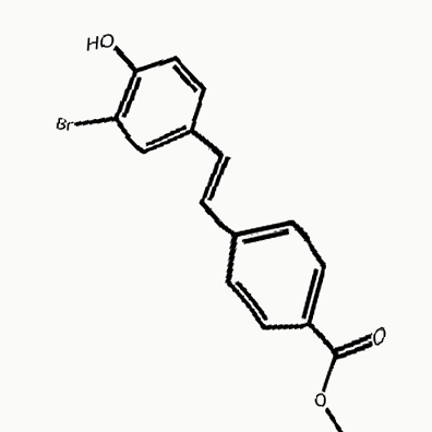 COC(=O)c1ccc(C=Cc2ccc(O)c(Br)c2)cc1